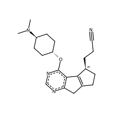 CN(C)[C@H]1CC[C@H](Oc2ncnc3c2C2=C(CC[C@@H]2CCC#N)C3)CC1